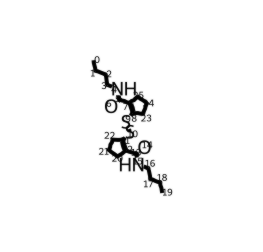 CCCCNC(=O)C1=C(SSC2=C(C(=O)NCCCC)CCC2)CCC1